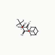 CC(=O)C(=O)N1CC2CC(C1)C2NC(=O)OC(C)(C)C